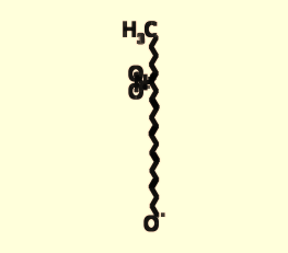 CCCCC/C=C(/C/C=C/C/C=C/C/C=C/C/C=C/CC[C]=O)[N+](=O)[O-]